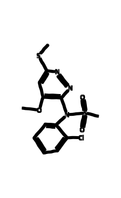 COc1cc(SC)nnc1N(c1ccccc1Cl)S(C)(=O)=O